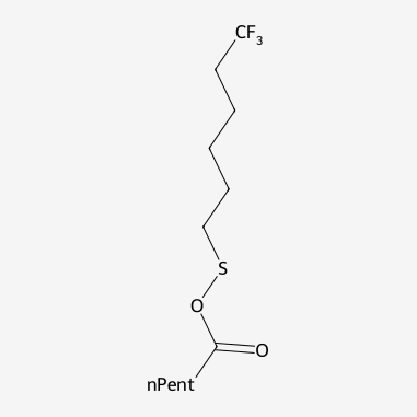 CCCCCC(=O)OSCCCCCC(F)(F)F